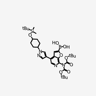 CC(C)(C)OC(=O)N(C(=O)OC(C)(C)C)c1ncc(-c2cnn(C3CCC(O[Si](C)(C)C(C)(C)C)CC3)c2)c2cc(B(O)O)oc12